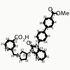 COC(=O)c1ccc(-c2ccc(-n3c(=O)n([C@H]4CCN(Cc5cc(C(=O)O)ccn5)C4)c4ncccc43)cc2)cc1